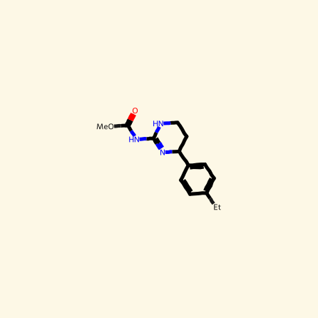 CCc1ccc(C2CCNC(NC(=O)OC)=N2)cc1